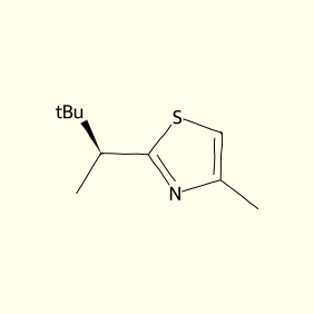 Cc1csc([C@@H](C)C(C)(C)C)n1